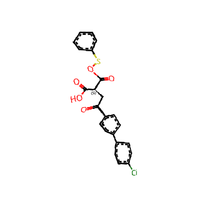 O=C(C[C@@H](C(=O)O)C(=O)OSc1ccccc1)c1ccc(-c2ccc(Cl)cc2)cc1